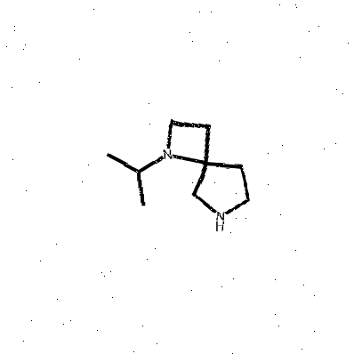 CC(C)N1CCC12CCNC2